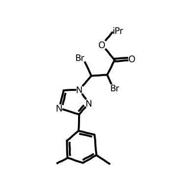 Cc1cc(C)cc(-c2ncn(C(Br)C(Br)C(=O)OC(C)C)n2)c1